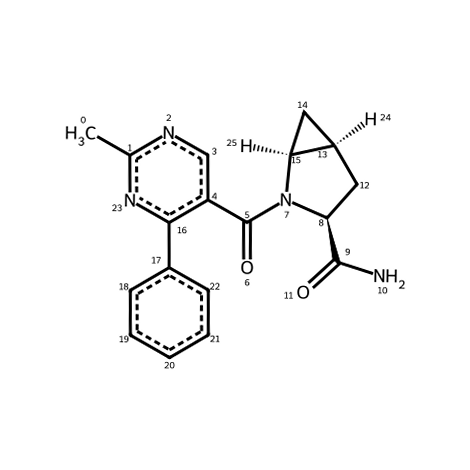 Cc1ncc(C(=O)N2[C@H](C(N)=O)C[C@@H]3C[C@@H]32)c(-c2ccccc2)n1